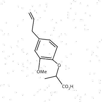 C=CCc1ccc(OC(C)C(=O)O)c(OC)c1